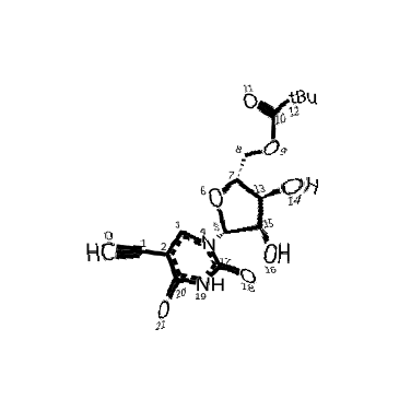 C#Cc1cn([C@@H]2O[C@H](COC(=O)C(C)(C)C)[C@@H](O)[C@H]2O)c(=O)[nH]c1=O